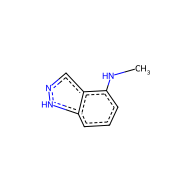 CNc1cccc2[nH]ncc12